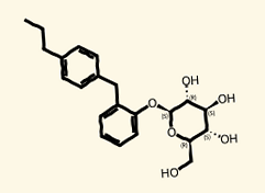 CCCc1ccc(Cc2ccccc2O[C@@H]2O[C@H](CO)[C@@H](O)[C@H](O)[C@H]2O)cc1